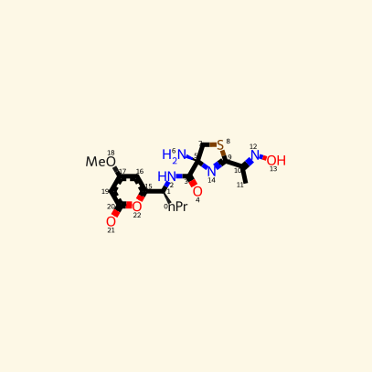 CCC[C@H](NC(=O)[C@]1(N)CSC(/C(C)=N/O)=N1)c1cc(OC)cc(=O)o1